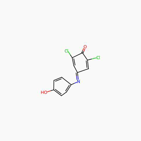 O=C1C(Cl)=CC(=Nc2ccc(O)cc2)C=C1Cl